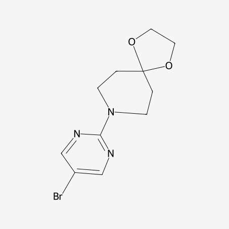 Brc1cnc(N2CCC3(CC2)OCCO3)nc1